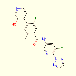 Cc1cc(-c2ccncc2O)c(F)cc1C(=O)Nc1cnc(-n2nccn2)c(Cl)c1